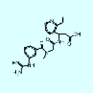 CCc1ncccc1C(CC(=O)O)NC(=O)CN(C)C(=O)c1cccc(NC(=N)N)c1